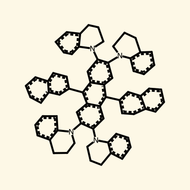 c1ccc2c(c1)CCCN2c1cc2c(-c3ccc4ccccc4c3)c3cc(N4CCCc5ccccc54)c(N4CCCc5ccccc54)cc3c(-c3ccc4ccccc4c3)c2cc1N1CCCc2ccccc21